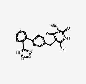 CCCCn1c(=O)[nH]c(CCC)c(Cc2ccc(-c3ccccc3-c3nnn[nH]3)cc2)c1=O